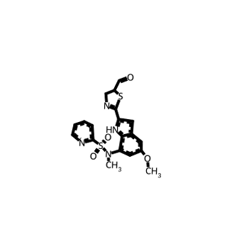 COc1cc(N(C)S(=O)(=O)c2ccccn2)c2[nH]c(C3=NCC(C=O)S3)cc2c1